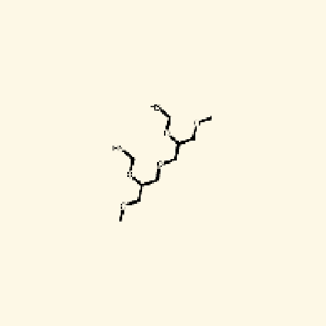 COCC(COCC(COC)OCS)OCS